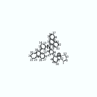 C1=Cc2c(oc3c(-c4ccc(N(c5cccc(-c6cc7ccccc7c7ccccc67)c5)c5cc6ccccc6c6ccccc56)cc4)cccc23)CC1